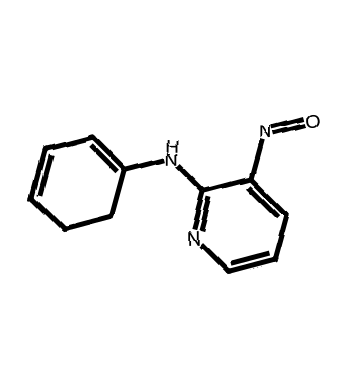 O=Nc1cccnc1NC1=CC=CCC1